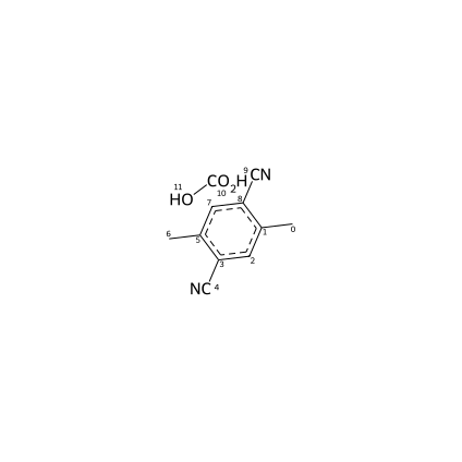 Cc1cc(C#N)c(C)cc1C#N.O=C(O)O